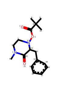 CN1CCN(OC(=O)C(C)(C)C)C(Cc2ccccc2)C1=O